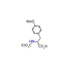 CCOC(=O)N[C@@H](Cc1ccc(OC)cc1)C(=O)O